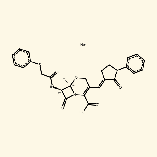 O=C(CSc1ccccc1)N[C@@H]1C(=O)N2C(C(=O)O)=C(C=C3CCN(c4ccccc4)C3=O)CS[C@H]12.[Na]